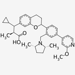 COc1cc(-c2ccc(C3CCc4ccc(C(C5CC5)[C@H](C)C(=O)O)cc4O3)c(CN3[C@H](C)CC[C@@H]3C)c2)ccn1